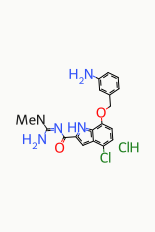 CNC(N)=NC(=O)c1cc2c(Cl)ccc(OCc3cccc(N)c3)c2[nH]1.Cl